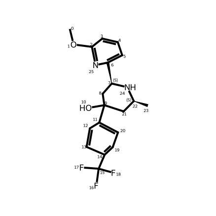 COc1cccc([C@@H]2CC(O)(c3ccc(C(F)(F)F)cc3)C[C@H](C)N2)n1